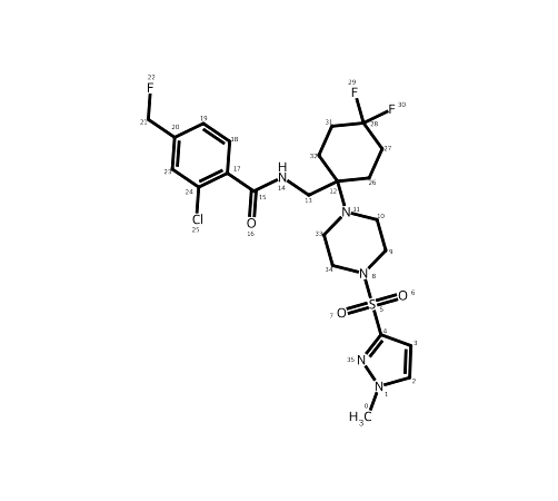 Cn1ccc(S(=O)(=O)N2CCN(C3(CNC(=O)c4ccc(CF)cc4Cl)CCC(F)(F)CC3)CC2)n1